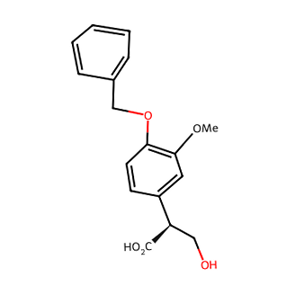 COc1cc([C@@H](CO)C(=O)O)ccc1OCc1ccccc1